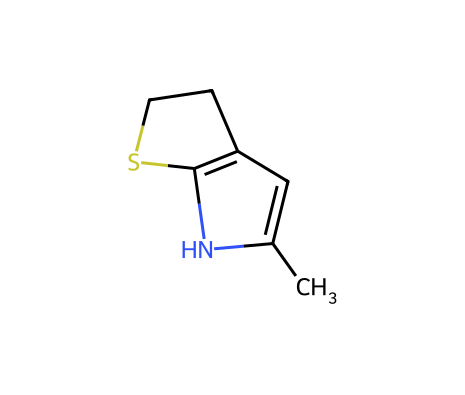 Cc1cc2c([nH]1)SCC2